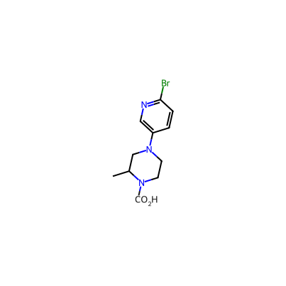 CC1CN(c2ccc(Br)nc2)CCN1C(=O)O